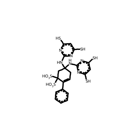 O=S(=O)(O)C1(S(=O)(=O)O)CC(Nc2nc(S)cc(S)n2)(Nc2nc(S)cc(S)n2)CC=C1c1ccccc1